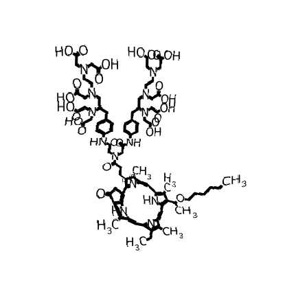 CCCCCCOC(C)c1c(C)c2cc3nc(c4c5[nH]c(cc6nc(cc1[nH]2)C(C)=C6CC)c(C)c5C(=O)C4)[C@@H](CCC(=O)N(CC(=O)Nc1ccc(CC(CN(CCN(CC(=O)O)CC(=O)O)CC(=O)O)N(CC(=O)O)CC(=O)O)cc1)CC(=O)Nc1ccc(CC(CN(CCN(CC(=O)O)CC(=O)O)CC(=O)O)N(CC(=O)O)CC(=O)O)cc1)[C@@H]3C